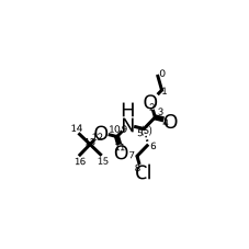 CCOC(=O)[C@H](CCCl)NC(=O)OC(C)(C)C